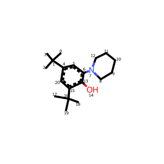 CC(C)(C)c1cc(N2CCCCC2)c(O)c(C(C)(C)C)c1